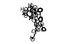 CC(=O)O[C@H]1C(=O)[C@@]2(C)[C@H]([C@H](OC(=O)c3ccccc3)[C@]3(O)C[C@H](OC(=O)[C@H](OC(=O)CNC(=O)CCCC(=O)I)[C@@H](NC(=O)c4ccccc4)c4ccccc4)C(C)=C1C3(C)C)[C@]1(OC(C)=O)CO[C@@H]1C[C@@H]2O